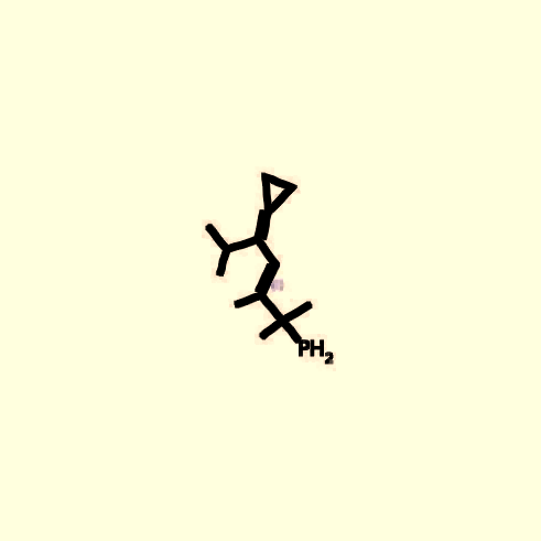 C/C(=C\C(=C1CC1)C(C)C)C(C)(C)P